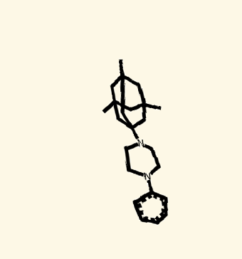 CC12CC3(C)CC(C)(C1)CC(N1CCN(c4ccccc4)CC1)(C2)C3